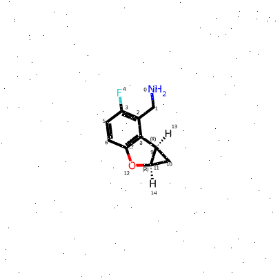 NCc1c(F)ccc2c1[C@H]1C[C@H]1O2